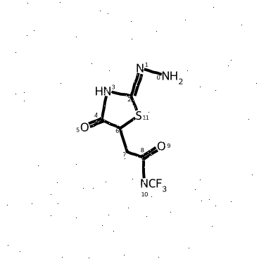 NN=C1NC(=O)C(CC(=O)NC(F)(F)F)S1